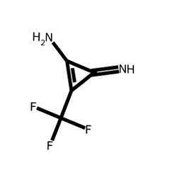 N=c1c(N)c1C(F)(F)F